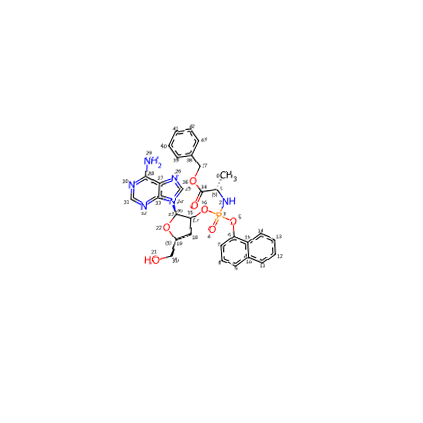 C[C@H](NP(=O)(Oc1cccc2ccccc12)OC1C[C@@H](CO)O[C@H]1n1cnc2c(N)ncnc21)C(=O)OCc1ccccc1